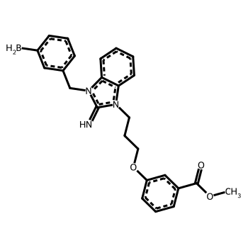 Bc1cccc(Cn2c(=N)n(CCCOc3cccc(C(=O)OC)c3)c3ccccc32)c1